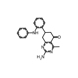 Cc1nc(N)nc2c1C(=O)CC(c1ccccc1Nc1ccccc1)C2